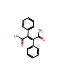 NC(=O)/C(=C(/C(N)=O)c1ccccc1)c1ccccc1